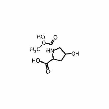 COC=O.Cl.O=C(O)C1CC(O)CN1